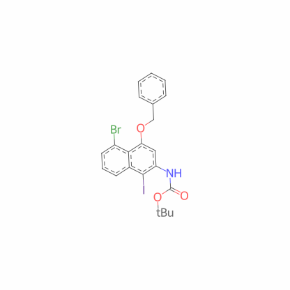 CC(C)(C)OC(=O)Nc1cc(OCc2ccccc2)c2c(Br)cccc2c1I